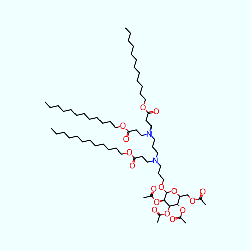 CCCCCCCCCCCCOC(=O)CCN(CCCOC1OC(COC(C)=O)[C@H](OC(C)=O)C(OC(C)=O)C1OC(C)=O)CCCN(CCC(=O)OCCCCCCCCCCCC)CCC(=O)OCCCCCCCCCCCC